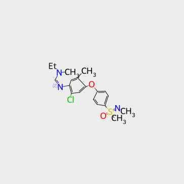 CCN(C)/C=N\c1cc(C)c(Oc2ccc(S(C)(=O)=NC)cc2)cc1Cl